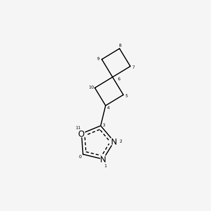 c1nnc(C2CC3(CCC3)C2)o1